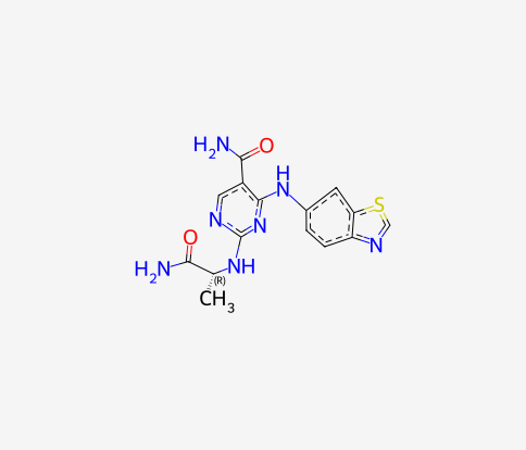 C[C@@H](Nc1ncc(C(N)=O)c(Nc2ccc3ncsc3c2)n1)C(N)=O